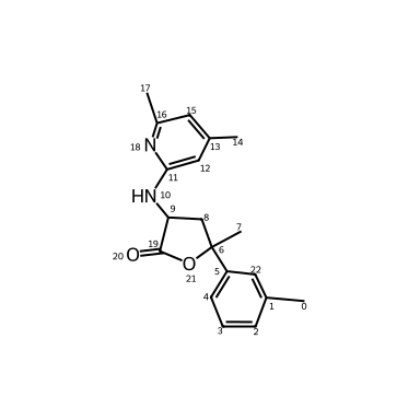 Cc1cccc(C2(C)CC(Nc3cc(C)cc(C)n3)C(=O)O2)c1